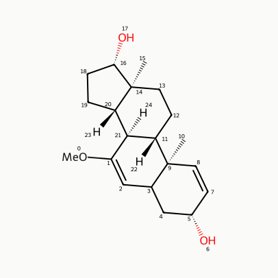 COC1=CC2C[C@@H](O)C=C[C@]2(C)[C@H]2CC[C@]3(C)[C@@H](O)CC[C@H]3[C@H]12